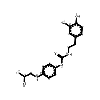 O=C(NCCc1ccc(O)c(O)c1)Oc1ccc(NCC(Cl)Cl)cc1